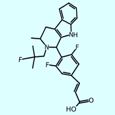 CC1Cc2c([nH]c3ccccc23)C(c2c(F)cc(/C=C/C(=O)O)cc2F)N1CC(C)(C)F